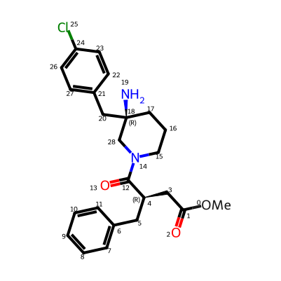 COC(=O)C[C@@H](Cc1ccccc1)C(=O)N1CCC[C@@](N)(Cc2ccc(Cl)cc2)C1